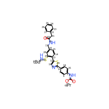 CC(C)OC(=O)Nc1ccc(-c2ncc(-c3ccc(CNC(=O)Cc4ccccc4)cc3SNC(C)(C)C)s2)cc1